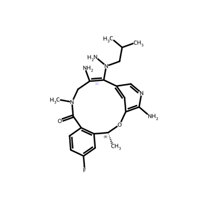 CC(C)CN(N)/C1=C(\N)CN(C)C(=O)c2ccc(F)cc2[C@@H](C)Oc2cc1cnc2N